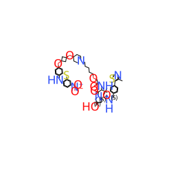 Cc1ncsc1-c1ccc([C@H](C)NC(=O)[C@@H]2C[C@@H](O)CN2C(=O)C(NC(=O)COCCCCCN2CCC(OC3CC(Oc4ccc5c(c4)Sc4cc([N+](=O)[O-])ccc4N5)C3)CC2)C(C)(C)C)cc1